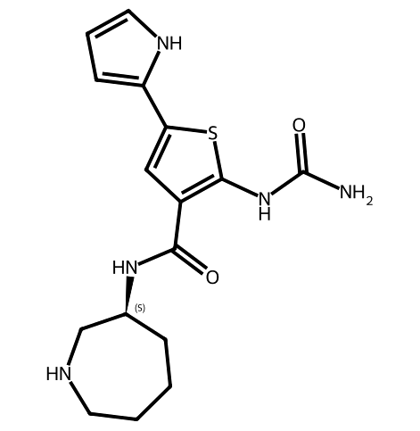 NC(=O)Nc1sc(-c2ccc[nH]2)cc1C(=O)N[C@H]1CCCCNC1